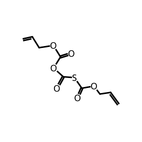 C=CCOC(=O)OC(=O)SC(=O)OCC=C